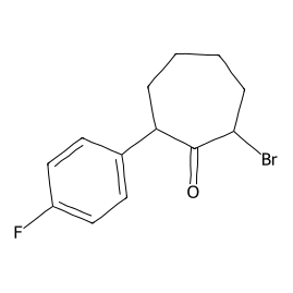 O=C1C(Br)CCCCC1c1ccc(F)cc1